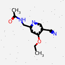 CCOc1cc(CNC(C)=O)ncc1C#N